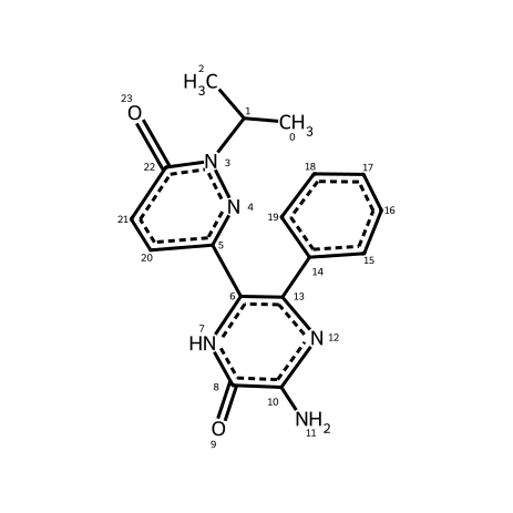 CC(C)n1nc(-c2[nH]c(=O)c(N)nc2-c2ccccc2)ccc1=O